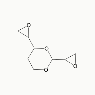 C1CC(C2CO2)OC(C2CO2)O1